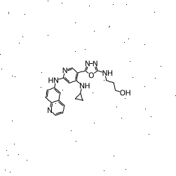 OCCCNc1nnc(-c2cnc(Nc3ccc4ncccc4c3)cc2NC2CC2)o1